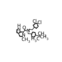 Cc1cc2cc[nH]c2c(C(=O)N(CCc2ccc(Cl)c(Cl)c2)Cc2ccc(C(C)(C)C)cc2)n1